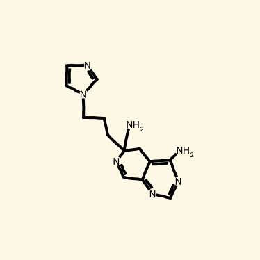 Nc1ncnc2c1CC(N)(CCCn1ccnc1)N=C2